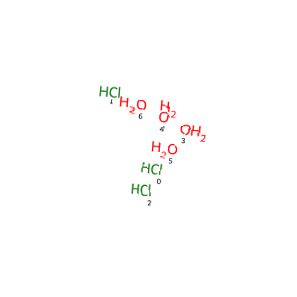 Cl.Cl.Cl.O.O.O.O